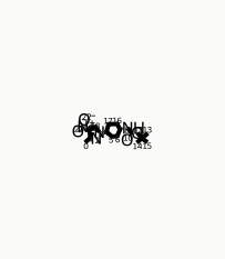 Cc1nn([C@H]2CC[C@@H](NC(=O)OC(C)(C)C)CC2)cc1[N+](=O)[O-]